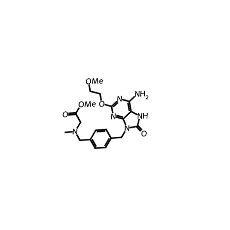 COCCOc1nc(N)c2[nH]c(=O)n(Cc3ccc(CN(C)CC(=O)OC)cc3)c2n1